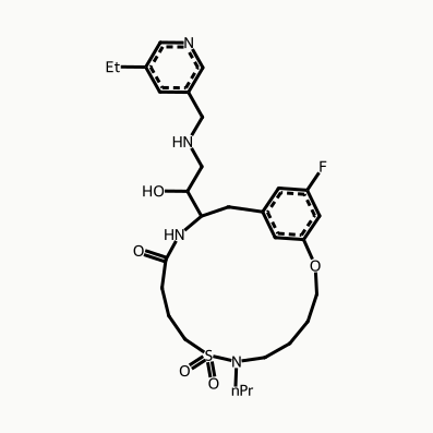 CCCN1CCCCOc2cc(F)cc(c2)CC(C(O)CNCc2cncc(CC)c2)NC(=O)CCCS1(=O)=O